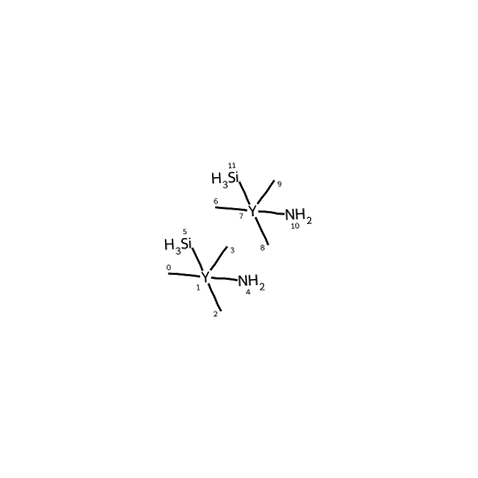 [CH3][Y]([CH3])([CH3])([NH2])[SiH3].[CH3][Y]([CH3])([CH3])([NH2])[SiH3]